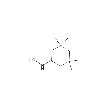 CC1(C)CC(NO)CC(C)(C)C1